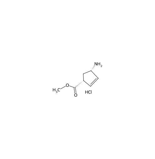 COC(=O)[C@H]1C=C[C@@H](N)C1.Cl